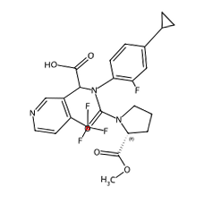 COC(=O)[C@H]1CCCN1C(=O)N(c1ccc(C2CC2)cc1F)C(C(=O)O)c1cnccc1C(F)(F)F